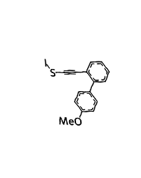 COc1ccc(-c2ccccc2C#CSI)cc1